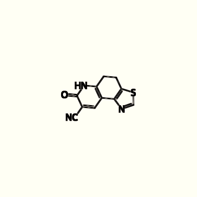 N#Cc1cc2c([nH]c1=O)CCc1scnc1-2